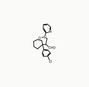 O=CC(C[S+]([O-])c1ccccn1)C1(c2ccc(Cl)cc2)CCCCC1